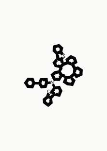 c1ccc(-c2ccc(N(c3ccc4c(c3)c3ccccc3c3ccccc3c3ccccc3c3c4ccc4c5ccccc5sc43)c3cccc4c3oc3ccccc34)cc2)cc1